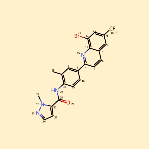 Cc1cc(-c2ccc3cc(C(F)(F)F)cc(Br)c3n2)ccc1NC(=O)c1ccnn1C